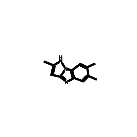 Cc1cc2nc3cc(C)c(C)cc3n2[nH]1